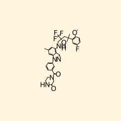 COc1ccc(F)cc1C(C)(C)CC(O)(CNc1cc(C)cc2c1cnn2-c1cccc(C(=O)N2CCNC(=O)C2)c1)C(F)(F)F